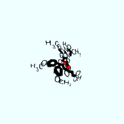 COCCO[C@@H]1[C@H](OC(c2ccccc2)(c2ccc(OC)cc2)c2ccc(OC)cc2)[C@@H](COC(=O)CCC(=O)O)O[C@H]1n1cc(C)c(=O)[nH]c1=O